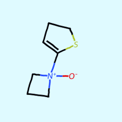 [O-][N+]1(C2=CCCS2)CCC1